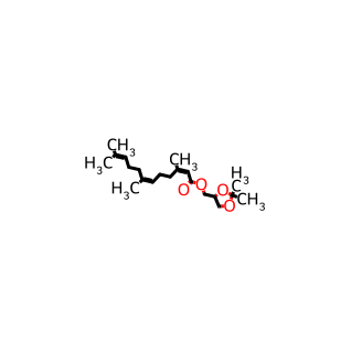 CC(C)=CCCC(C)=CCCC(C)=CC(=O)OCC1COC(C)(C)O1